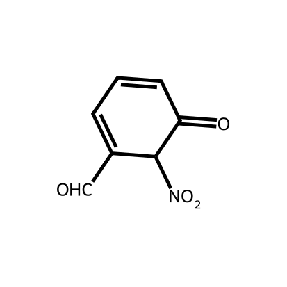 O=CC1=CC=CC(=O)C1[N+](=O)[O-]